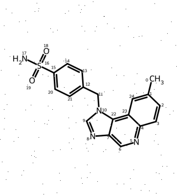 Cc1ccc2ncc3ncn(Cc4ccc(S(N)(=O)=O)cc4)c3c2c1